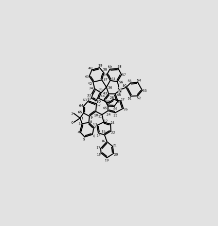 CC1(C)c2ccccc2-c2c(C(c3ccc(-c4ccccc4)cc3)c3ccccc3-c3cccc4c3C3(c5ccccc5-4)c4ccccc4N(c4ccccc4)c4ccccc43)cccc21